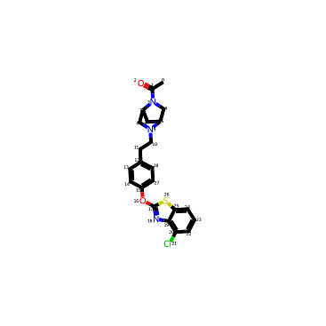 CC(=O)N1CC2CC1CN2CCc1ccc(Oc2nc3c(Cl)cccc3s2)cc1